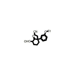 CCOc1cccc(C2(CCC#N)CCCC(C=O)C2=O)c1